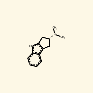 CN(C)[C@H]1Cc2[nH]c3cnccc3c2C1